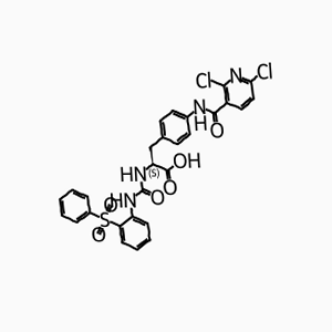 O=C(Nc1ccccc1S(=O)(=O)c1ccccc1)N[C@@H](Cc1ccc(NC(=O)c2ccc(Cl)nc2Cl)cc1)C(=O)O